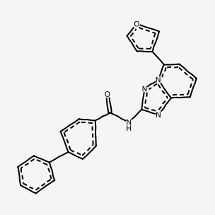 O=C(Nc1nc2cccc(-c3ccoc3)n2n1)c1ccc(-c2ccccc2)cc1